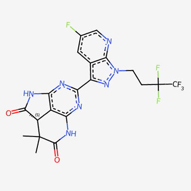 CC1(C)C(=O)Nc2nc(-c3nn(CCC(F)(F)C(F)(F)F)c4ncc(F)cc34)nc3c2[C@]1(C)C(=O)N3